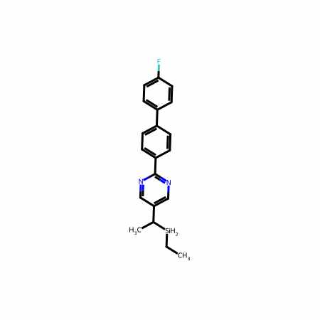 CC[SiH2]C(C)c1cnc(-c2ccc(-c3ccc(F)cc3)cc2)nc1